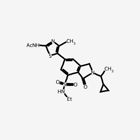 CCNS(=O)(=O)c1cc(-c2sc(NC(C)=O)nc2C)cc2c1C(=O)N(C(C)C1CC1)C2